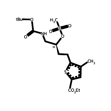 CCOC(=O)c1cc(C)c(CC[C@@H](CNC(=O)OC(C)(C)C)OS(C)(=O)=O)s1